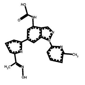 CC(=NO)c1cccc(-c2cc(NC(=O)O)c3cnn(-c4cccc(C)n4)c3c2)n1